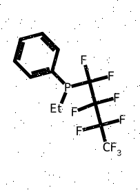 CCP(c1ccccc1)C(F)(F)C(F)(F)C(F)(F)C(F)(F)F